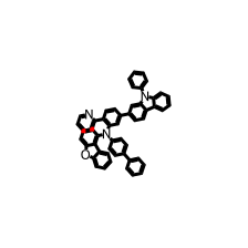 c1ccc(-c2ccc(N(c3cc(-c4ccc5c6ccccc6n(-c6ccccc6)c5c4)ccc3-c3ccccn3)c3cccc4oc5ccccc5c34)cc2)cc1